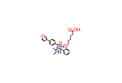 [2H]C([2H])(c1ccccc1OCCCCCC(=O)O)N(C(=O)c1ccc(-c2ccoc2)cc1)C(C)CC